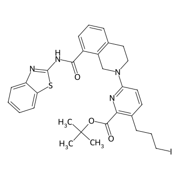 CC(C)(C)OC(=O)c1nc(N2CCc3cccc(C(=O)Nc4nc5ccccc5s4)c3C2)ccc1CCCI